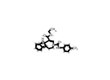 CCOC(=O)C1=CN(C(=O)Nc2ccc(C)cc2)CCc2c1[nH]c1ccccc21